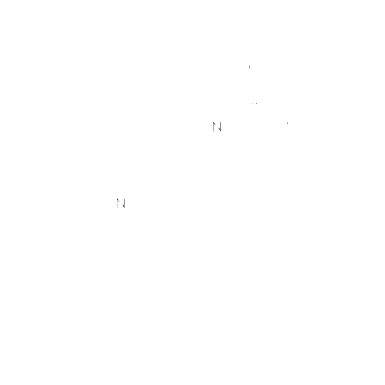 O=C(O)N1CCC(CN2CCc3ccccc3C2)CC1